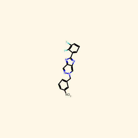 O=[N+]([O-])c1cccc(Cn2cc3nc(-c4cccc(F)c4F)nc-3cn2)c1